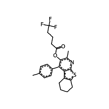 Cc1ccc(-c2c(OC(=O)CCCC(F)(F)F)c(C)nc3sc4c(c23)CCCC4)cc1